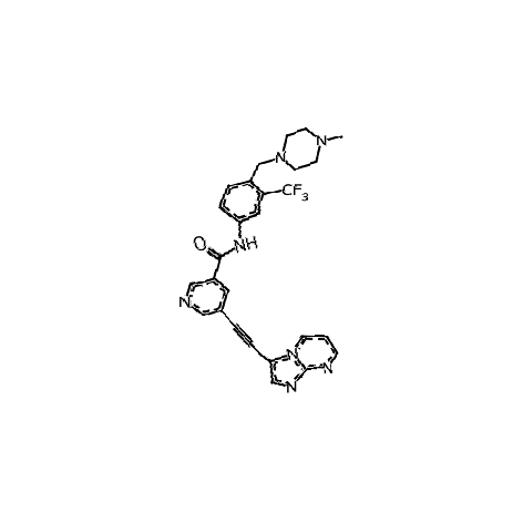 CN1CCN(Cc2ccc(NC(=O)c3cncc(C#Cc4cnc5ncccn45)c3)cc2C(F)(F)F)CC1